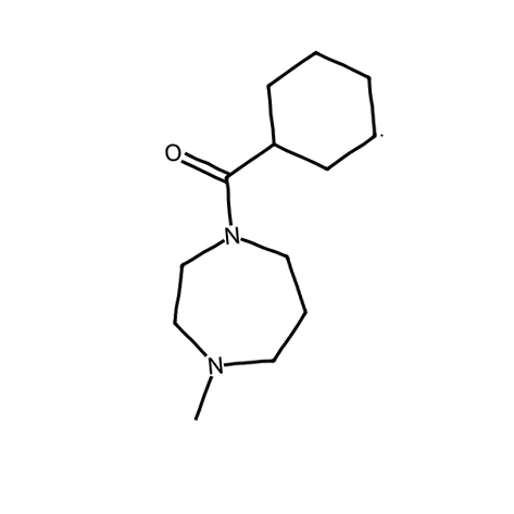 CN1CCCN(C(=O)C2C[CH]CCC2)CC1